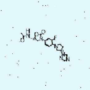 CC(=O)NC[C@H]1CN(c2ccc(N3CC[C@@H](n4cncn4)C3)c(F)c2)C(=O)O1